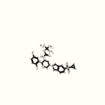 CC(C)(C)OC(=O)N[C@@H]1C[C@H](N2Cc3ccc(S(=O)(=O)C4CC4)cc3C2)CO[C@H]1c1cc(F)ccc1F